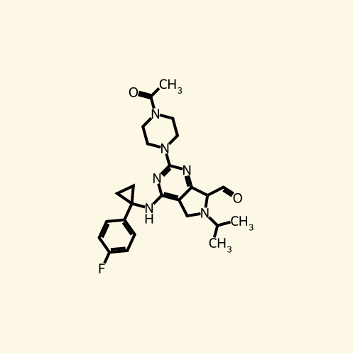 CC(=O)N1CCN(c2nc(NC3(c4ccc(F)cc4)CC3)c3c(n2)C(C=O)N(C(C)C)C3)CC1